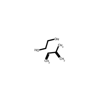 C=CC(=C)C.OCCO